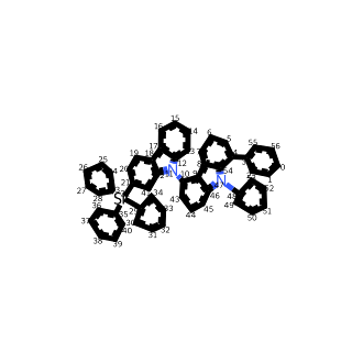 c1ccc(-c2cccc3c4c(-n5c6ccccc6c6ccc([Si](c7ccccc7)(c7ccccc7)c7ccccc7)cc65)cccc4n(-c4ccccc4)c23)cc1